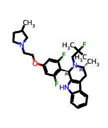 CC1CCN(CCOc2cc(F)c([C@@H]3c4[nH]c5ccccc5c4C[C@@H](C)N3CC(C)(C)F)c(F)c2)C1